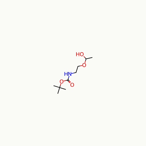 CC(O)OCCNC(=O)OC(C)(C)C